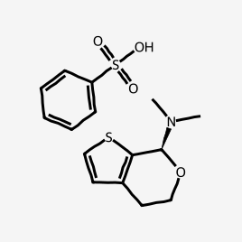 CN(C)[C@H]1OCCc2ccsc21.O=S(=O)(O)c1ccccc1